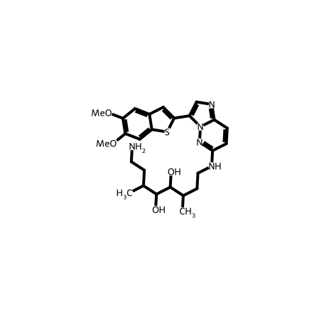 COc1cc2cc(-c3cnc4ccc(NCCC(C)C(O)C(O)C(C)CCN)nn34)sc2cc1OC